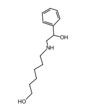 OCCCCCCNCC(O)c1ccccc1